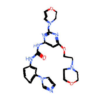 O=C(Nc1cccc(-n2ccnc2)c1)Nc1cc(OCCN2CCOCC2)nc(N2CCOCC2)n1